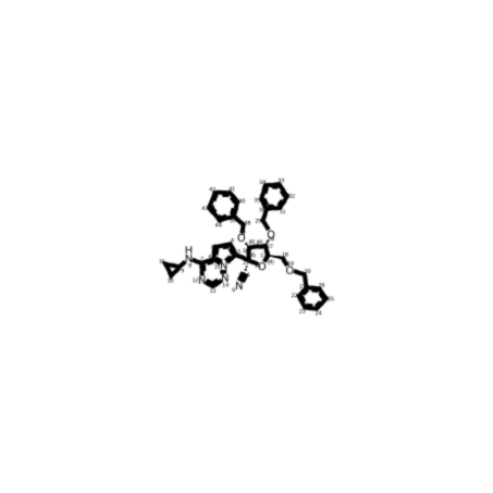 N#C[C@@]1(c2ccc3c(NC4CC4)ncnn23)O[C@H](COCc2ccccc2)[C@@H](OCc2ccccc2)[C@H]1OCc1ccccc1